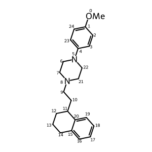 COc1ccc(N2CCN(CCC3CCCc4ccccc43)CC2)cc1